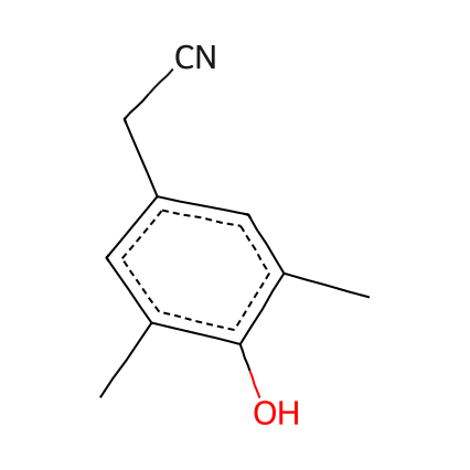 Cc1cc(CC#N)cc(C)c1O